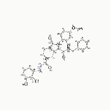 CC(C)Oc1ccc(-n2c(C(=O)NCc3ccccc3)c3n(c2=O)CCN(C(=O)/C=C/c2cccc(Cl)c2Cl)C3)cc1